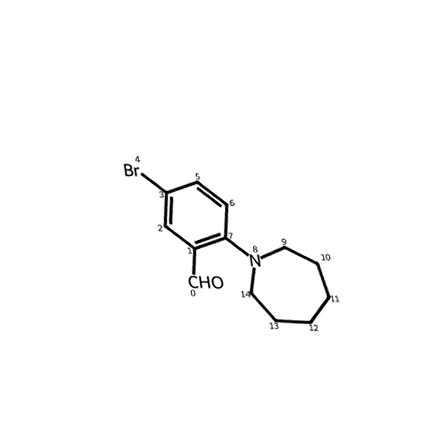 O=Cc1cc(Br)ccc1N1CCCCCC1